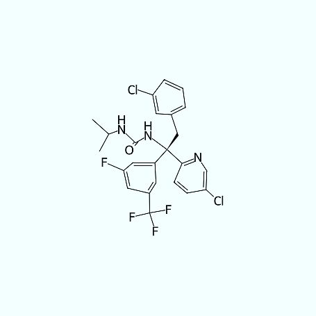 CC(C)NC(=O)N[C@@](Cc1cccc(Cl)c1)(c1cc(F)cc(C(F)(F)F)c1)c1ccc(Cl)cn1